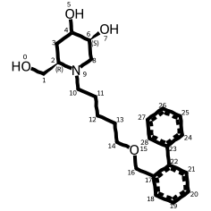 OC[C@H]1CC(O)[C@@H](O)CN1CCCCCOCc1ccccc1-c1ccccc1